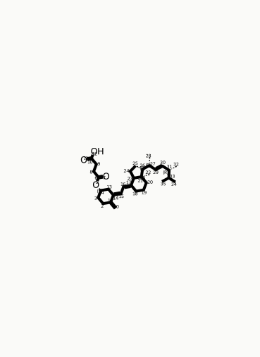 C=C1CC[C@H](OC(=O)CCC(=O)O)CC1=CC=C1CCC[C@@]2(C)C1CC[C@@H]2[C@H](C)C=C[C@H](C)C(C)C